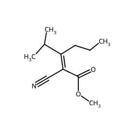 CCCC(=C(C#N)C(=O)OC)C(C)C